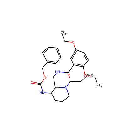 O=CCCN1CCCC(NC(=O)OCc2ccccc2)C1CNC(=O)c1cc(OCC(F)(F)F)ccc1OCC(F)(F)F